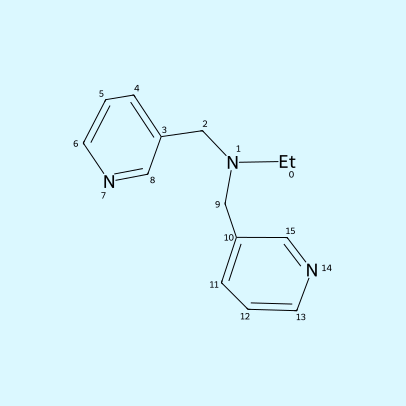 CCN(Cc1cccnc1)Cc1cccnc1